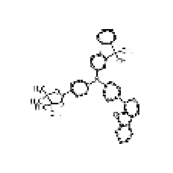 CC1(C)c2ccccc2-c2ccc(N(c3ccc(B4OC(C)(C)C(C)(C)O4)cc3)c3ccc(-c4cccc5c4oc4ccccc45)cc3)cc21